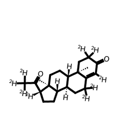 [2H]C1=C2C([2H])([2H])C[C@@H]3[C@H](CC[C@@]4(C)[C@H]3CC[C@]4([2H])C(=O)C([2H])([2H])[2H])[C@@]2(C)CC([2H])([2H])C1=O